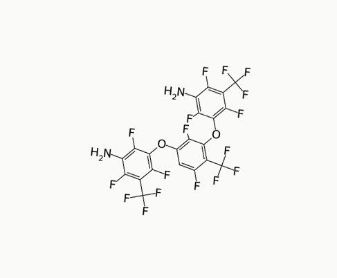 Nc1c(F)c(Oc2cc(F)c(C(F)(F)F)c(Oc3c(F)c(N)c(F)c(C(F)(F)F)c3F)c2F)c(F)c(C(F)(F)F)c1F